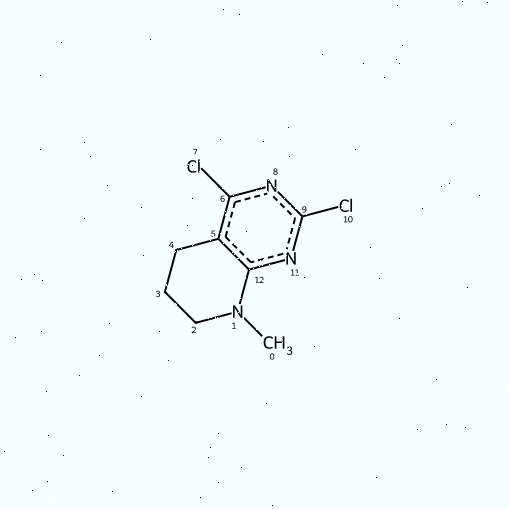 CN1CCCc2c(Cl)nc(Cl)nc21